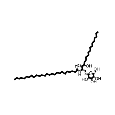 CCCCCCCCCCCCCCCCCCCCCCCCCC(=O)N[C@H](CS[C@H]1O[C@H](CO)[C@H](O)[C@H](O)[C@H]1O)[C@H](O)[C@H](O)CCCCCCCCCCCCCC